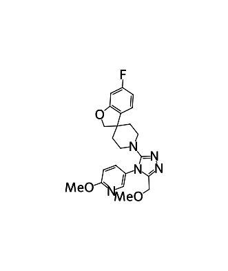 COCc1nnc(N2CCC3(CC2)COc2cc(F)ccc23)n1-c1ccc(OC)nc1